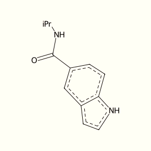 CC(C)NC(=O)c1ccc2[nH]ccc2c1